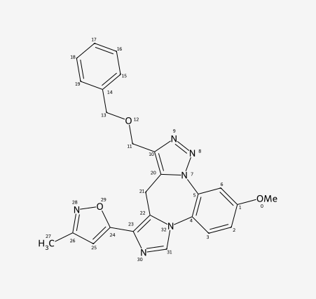 COc1ccc2c(c1)-n1nnc(COCc3ccccc3)c1Cc1c(-c3cc(C)no3)ncn1-2